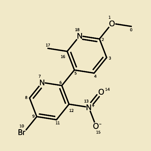 COc1ccc(-c2ncc(Br)cc2[N+](=O)[O-])c(C)n1